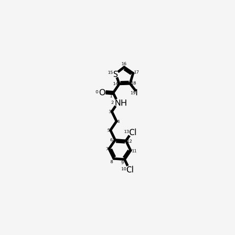 O=C(NCCCc1ccc(Cl)cc1Cl)c1sccc1I